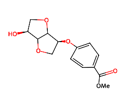 COC(=O)c1ccc(O[C@H]2COC3C2OC[C@@H]3O)cc1